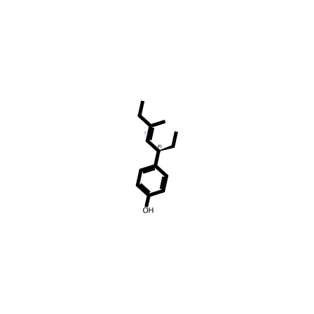 CC/C(C)=C/[C@@H](CC)c1ccc(O)cc1